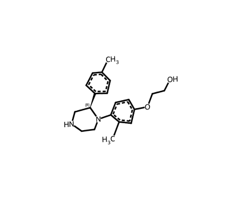 Cc1ccc([C@@H]2CNCCN2c2ccc(OCCO)cc2C)cc1